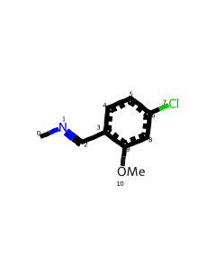 CN=Cc1ccc(Cl)cc1OC